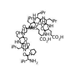 CSCC[C@H](NC(=O)[C@H](CCC(=O)O)NC(=O)[C@H](CC(C)C)NC(=O)[C@H](CC(C)C)NC(=O)[C@H](CC(C)C)NC(=O)CNC(=O)[C@H](CO)NC(=O)[C@H](CC(C)C)NC(=O)[C@@H]1CCCN1C(=O)[C@@H](N)C(C)C)C(=O)O